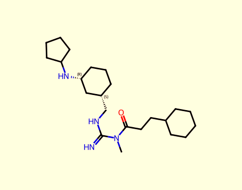 CN(C(=N)NC[C@H]1CCC[C@@H](NC2CCCC2)C1)C(=O)CCC1CCCCC1